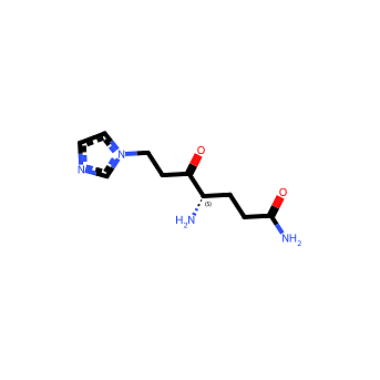 NC(=O)CC[C@H](N)C(=O)CCn1ccnc1